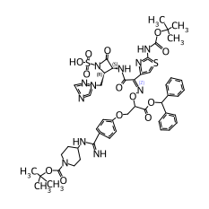 CC(C)(C)OC(=O)Nc1nc(/C(=N/OC(COc2ccc(C(=N)NC3CCN(C(=O)OC(C)(C)C)CC3)cc2)C(=O)OC(c2ccccc2)c2ccccc2)C(=O)N[C@@H]2C(=O)N(S(=O)(=O)O)[C@@H]2Cn2cncn2)cs1